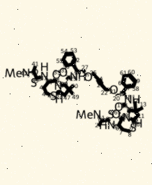 CN[C@@H](C)C(=S)N[C@H]1CCS[C@H]2CC(C)(C)[C@@H](C(=O)N[C@H](COCC#CCOC[C@@H](NC(=O)[C@H]3N4C(=O)[C@@H](NC(=S)[C@H](C)NC)CCS[C@H]4CC3(C)C)c3ccccc3)c3ccccc3)N2C1=O